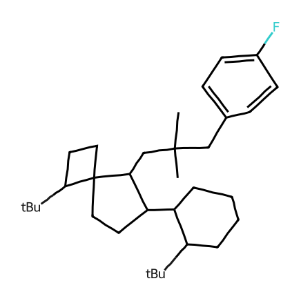 CC(C)(Cc1ccc(F)cc1)CC1C(C2CCCCC2C(C)(C)C)CCC12CCC2C(C)(C)C